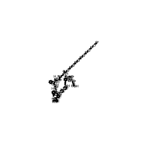 COCCOCCOCCOCCOCCOCCOCCOCCOCCOCCOCCOCCC(=O)NCCCC[C@H](N)C(=O)NCC(=O)N[C@@H](Cc1ccccc1)C(=O)NCC(=O)NCOC[C@](OC1CC1)(c1ccccc1)c1nc(N2CCC(N3CCC(C)(NCC#Cc4ccc(OC)c(-n5ccc(=O)n(CNC(=O)CCC(=O)O)c5=O)c4)CC3)CC2)nc2ccc(-c3cn(C)c(=O)c4[nH]ccc34)cc12